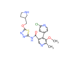 COc1c(C)ncc(C(=O)Nc2nnc(OCC3CCNC3)s2)c1-c1ccnc(Cl)c1